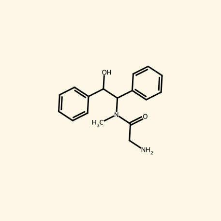 CN(C(=O)CN)C(c1ccccc1)C(O)c1ccccc1